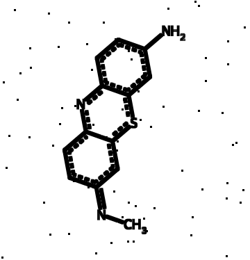 C/N=c1/ccc2nc3ccc(N)cc3sc-2c1